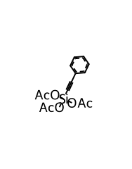 CC(=O)O[Si](C#Cc1ccccc1)(OC(C)=O)OC(C)=O